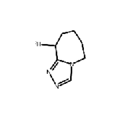 [2H]C1CCCCn2cnnc21